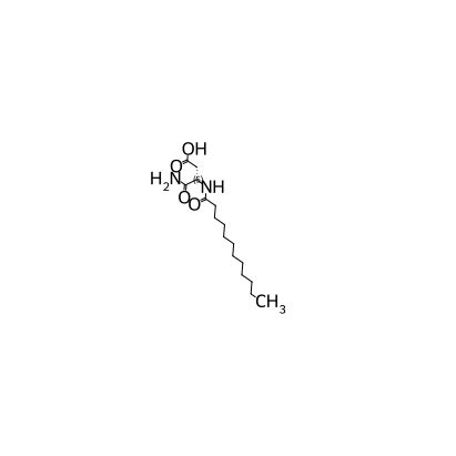 CCCCCCCCCCCC(=O)N[C@@H](CC(=O)O)C(N)=O